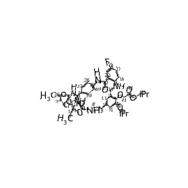 C/C=C(/C)OC(=O)NCCc1cc(CNc2ccc(F)cc2C(=O)Nc2ccc(C(=N)NC(=O)O/C(C)=C\C)cc2)c(OCC(=O)OC(C)C)c(OC(C)C)c1